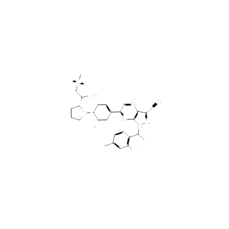 CC(c1ccc(Cl)cc1Cl)n1nc(C#N)c2ncc(C3=CC[C@H](N4CCC[C@H]4C(O)CS(C)(=O)=O)[C@H](C)C3)nc21